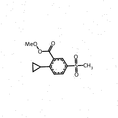 COOC(=O)c1cc(S(C)(=O)=O)ccc1C1CC1